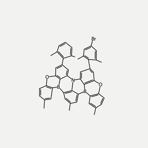 Cc1ccc2c(c1)B1c3cc(C)cc4c3N(c3cc(-c5c(C)cccc5C)cc(c31)O2)c1cc(-c2c(C)cc(Br)cc2C)cc2c1B4c1cc(C)ccc1O2